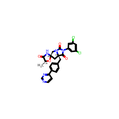 C[C@H]1O[C@]2(CN3C(=O)N(c4cc(Cl)cc(Cl)c4)C(=O)[C@]3(Cc3ccc(-c4ccncn4)cc3)C2)NC1=O